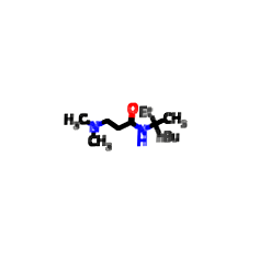 CCCCC(C)(CC)NC(=O)CCN(C)C